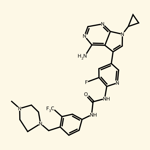 CN1CCN(Cc2ccc(NC(=O)Nc3ncc(-c4cn(C5CC5)c5ncnc(N)c45)cc3F)cc2C(F)(F)F)CC1